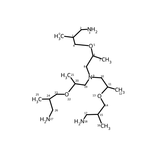 CC(CN)COC(C)CN(CC(C)OCC(C)CN)CC(C)OCC(C)CN